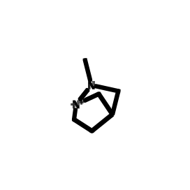 CN1CC2CC[N+]1C2